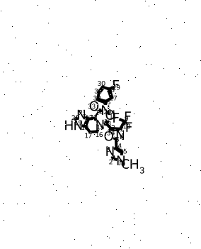 Cn1cnc(-c2nc(C(F)(F)F)c(C(=O)N3CCc4[nH]cnc4[C@H]3c3nc4cc(F)ccc4o3)o2)c1